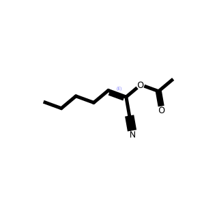 CCCC/C=C(\C#N)OC(C)=O